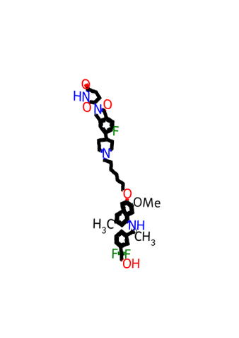 COc1cc2c(N[C@@H](C)c3cccc(C(F)(F)CO)c3)cc(C)cc2cc1OCCCCCCCN1CCC(c2cc3c(cc2F)C(=O)N(C2CCC(=O)NC2=O)C3)CC1